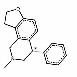 CN1Cc2c(ccc3c2CCO3)[C@H](c2ccccc2)C1